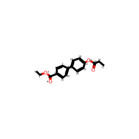 CCOC(=O)c1ccc(-c2ccc(OC(=O)CC)cc2)cc1